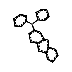 [c]1cccc2cc3ccc(N(c4ccccc4)c4ccccc4)cc3cc12